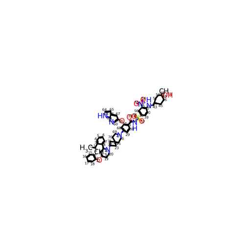 CC(C)c1ccccc1C1CC(Oc2ccccc2)CCN1C1CC2(CCN(c3ccc(C(=O)NS(=O)(=O)c4ccc(NCC5CCC(C)(O)CC5)c([N+](=O)[O-])c4)c(Oc4cnc5[nH]ccc5c4)c3)CC2)C1